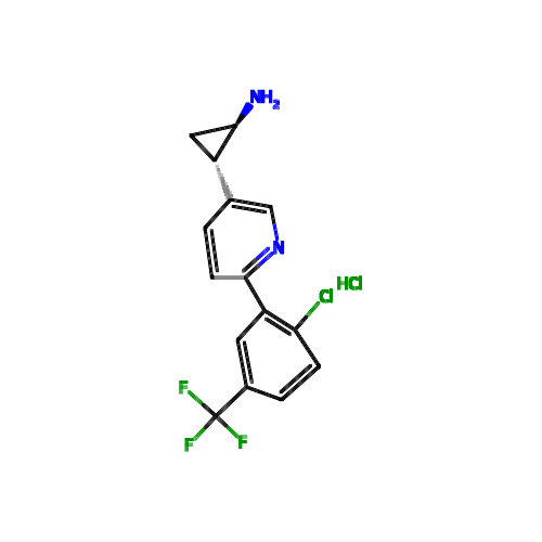 Cl.N[C@@H]1C[C@H]1c1ccc(-c2cc(C(F)(F)F)ccc2Cl)nc1